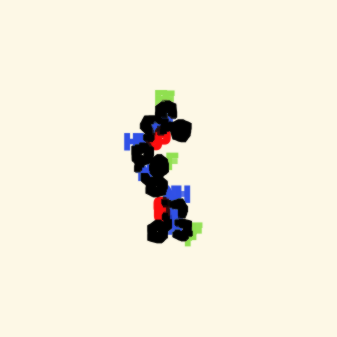 O=C(Nc1ccc(CN(Cc2ccc(NC(=O)[C@@H]3CCCN3C(=O)[C@@H](c3ccccc3)N3CCC(F)(F)CC3)cc2)c2ccc(F)cc2)cc1)[C@@H]1CCCN1C(=O)[C@@H](c1ccccc1)N1CCC(F)(F)CC1